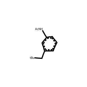 CC(=O)Nc1cccc(CC(C)(C)C)c1